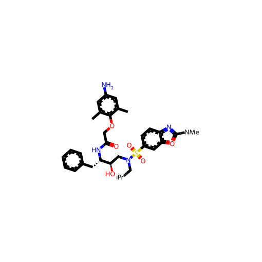 CNc1nc2ccc(S(=O)(=O)N(CC(C)C)C[C@@H](O)[C@H](Cc3ccccc3)NC(=O)COc3c(C)cc(N)cc3C)cc2o1